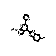 CC(C)n1ncc2c(-c3nc4ccc(F)cc4o3)cc(-c3cccs3)nc21